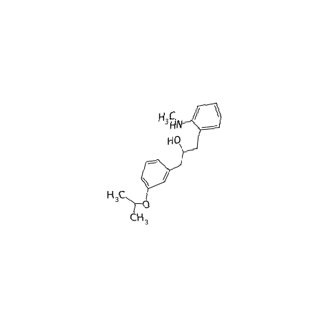 CNc1ccccc1CC(O)Cc1cccc(OC(C)C)c1